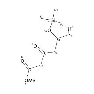 C=CC(CC(=O)CC(=O)OC)O[Si](C)(C)C